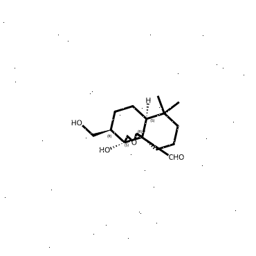 CC1(C)CCC[C@@]23C(C=O)OC[C@]2(O)[C@@H](CO)CC[C@@H]13